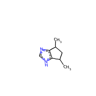 CC1CC(C)c2[nH]cnc21